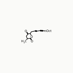 CCCCCCCCC#CC#CCC1OC(=O)C(C)CC1=O